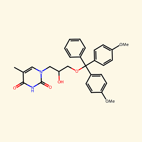 COc1ccc(C(OCC(O)Cn2cc(C)c(=O)[nH]c2=O)(c2ccccc2)c2ccc(OC)cc2)cc1